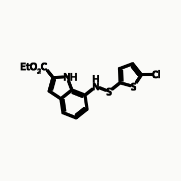 CCOC(=O)c1cc2cccc(NSc3ccc(Cl)s3)c2[nH]1